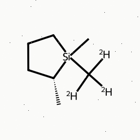 [2H]C([2H])([2H])[Si]1(C)CCC[C@H]1C